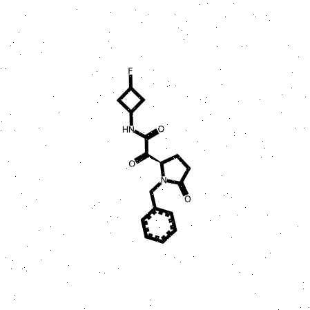 O=C(NC1CC(F)C1)C(=O)[C@H]1CCC(=O)N1Cc1ccccc1